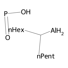 CCCCCC[CH]([AlH2])CCCCC.O=PO